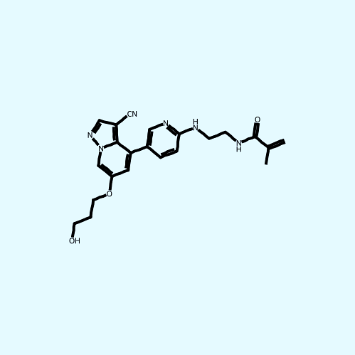 C=C(C)C(=O)NCCNc1ccc(-c2cc(OCCCO)cn3ncc(C#N)c23)cn1